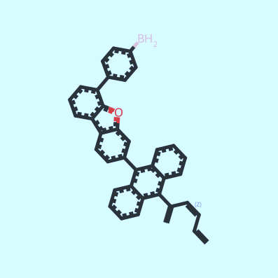 Bc1ccc(-c2cccc3c2oc2cc(-c4c5ccccc5c(C(=C)/C=C\C=C)c5ccccc45)ccc23)cc1